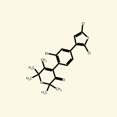 CCc1cc(-c2cc(Cl)sc2Cl)ccc1C1=C(C)C(C)(C)OC(C)(C)C1=O